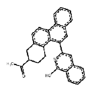 CC(=O)C1CCc2c(ccc3c2c(-c2cc4ccccc4c(O)n2)cc2ccccc23)C1